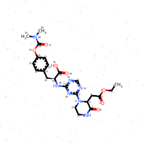 CCOC(=O)CC1C(=O)NCCN1c1ncnc(N[C@@H](Cc2ccc(OC(=O)N(C)C)cc2)C(=O)O)n1